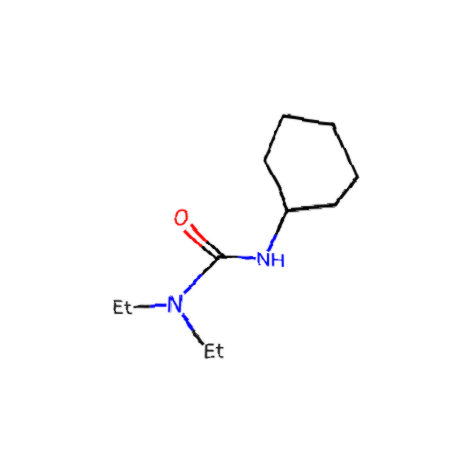 CCN(CC)C(=O)NC1CCCCC1